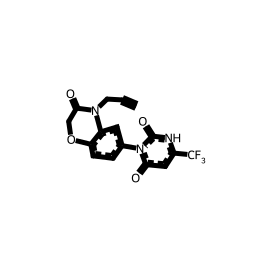 C#CCN1C(=O)COc2ccc(-n3c(=O)cc(C(F)(F)F)[nH]c3=O)cc21